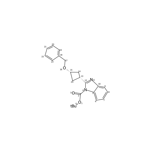 CC(C)(C)OC(=O)n1c2ccccc2nc1[C@H]1C[C@@H](OCc2ccccc2)C1